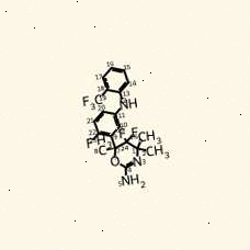 CC1(C)N=C(N)O[C@](C)(c2cc(Nc3ccccc3C(F)(F)F)ccc2F)C1(F)F